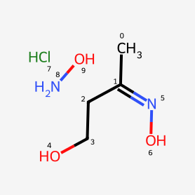 CC(CCO)=NO.Cl.NO